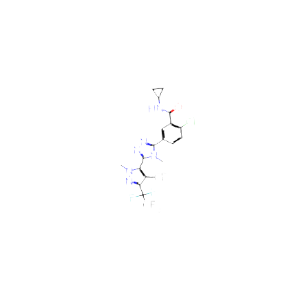 Cn1nc(C(F)(F)C(F)(F)F)c(C(F)(F)F)c1-c1nnc(-c2ccc(Cl)c(C(=O)NC3CC3)c2)n1C